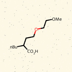 CCCCC(CCOCCOC)C(=O)O